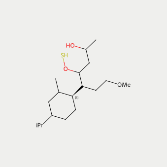 COCCC(C(CC(C)O)OS)[C@H]1CCC(C(C)C)CC1C